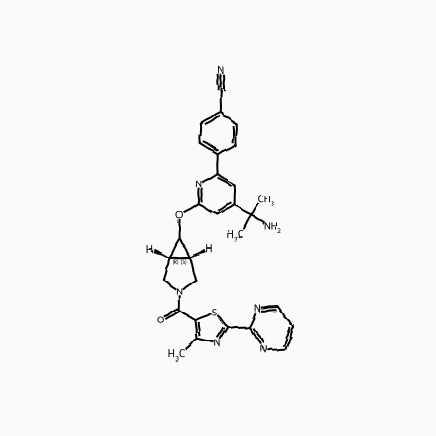 Cc1nc(-c2ncccn2)sc1C(=O)N1C[C@@H]2C(Oc3cc(C(C)(C)N)cc(-c4ccc(C#N)cc4)n3)[C@@H]2C1